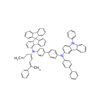 C=CC/C(=C\C=C(/C)c1ccccc1)N(c1ccc(-c2ccc(N(c3ccc(-c4ccccc4)cc3)c3ccc4c(c3)c3ccccc3n4-c3ccccc3)cc2)cc1)c1cccc2c1-c1ccccc1C21c2ccccc2-c2ccccc21